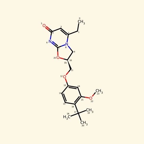 CCc1cc(=O)nc2n1C[C@@H](COc1ccc(C(C)(C)C)c(OC)c1)O2